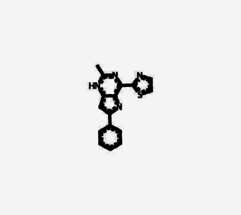 Cc1nc(-c2nccs2)c2nc(-c3ccccc3)cc-2[nH]1